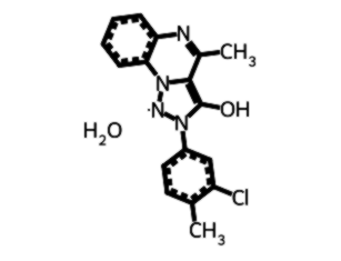 CC1=Nc2ccccc2N2[N]N(c3ccc(C)c(Cl)c3)C(O)=C12.O